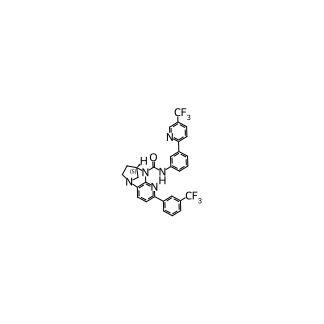 O=C(Nc1cccc(-c2ccc(C(F)(F)F)cn2)c1)N1c2nc(-c3cccc(C(F)(F)F)c3)ccc2N2CC[C@H]1C2